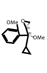 COc1ccccc1[C@](OC)(C1CC1)[C@H]1CO1